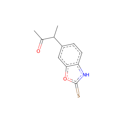 CC(=O)C(C)c1ccc2[nH]c(=S)oc2c1